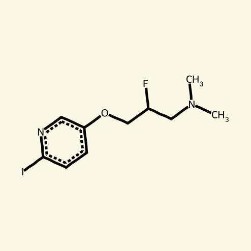 CN(C)CC(F)COc1ccc(I)nc1